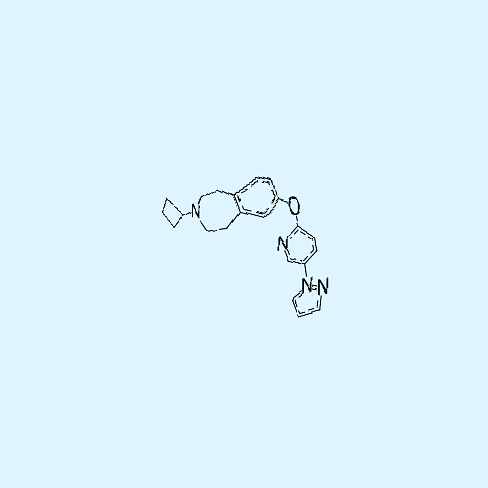 c1cnn(-c2ccc(Oc3ccc4c(c3)CCN(C3CCC3)CC4)nc2)c1